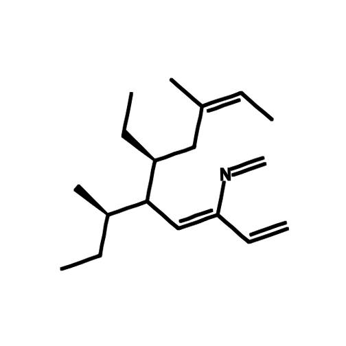 C=C/C(=C/C([C@@H](CC)C/C(C)=C\C)[C@H](C)CC)N=C